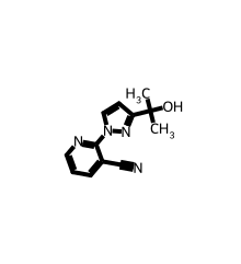 CC(C)(O)c1ccn(-c2ncccc2C#N)n1